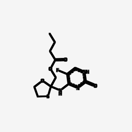 CCCC(=O)OCC1(Nc2nc(=O)[nH]cc2F)OCCS1